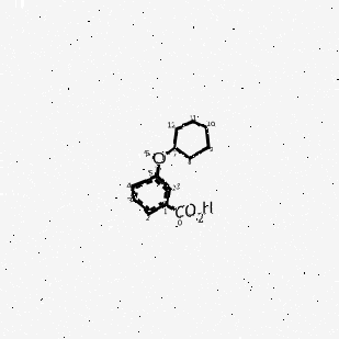 O=C(O)c1cccc(OC2CCCCC2)c1